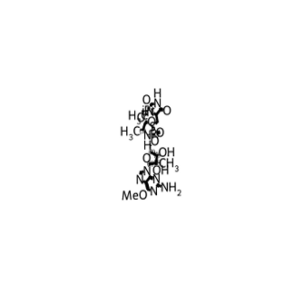 COc1nc(N)nc2c1ncn2[C@@H]1O[C@H](CO[P@@](=O)(N[C@@H](C)C(=O)OC(C)C)SCC2C(=O)NC(=O)N2C)[C@@H](O)[C@@]1(C)O